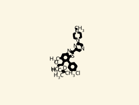 Cc1cc2nc(-c3cncc(N4CCN(C)CC4)n3)sc2c(-c2ccc(Cl)cc2)c1C(OC(C)(C)C)C(=O)O